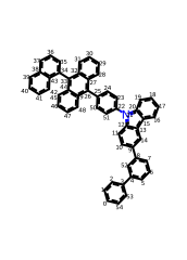 c1ccc(-c2cccc(-c3ccc4c(c3)c3ccccc3n4-c3ccc(-c4c5ccccc5c(-c5cccc6ccccc56)c5ccccc45)cc3)c2)cc1